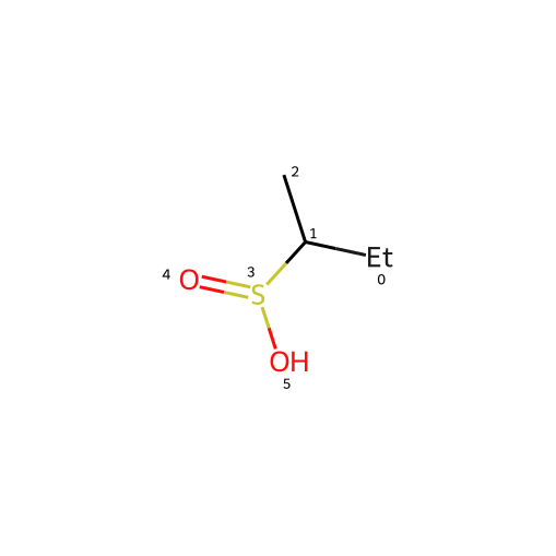 CCC(C)S(=O)O